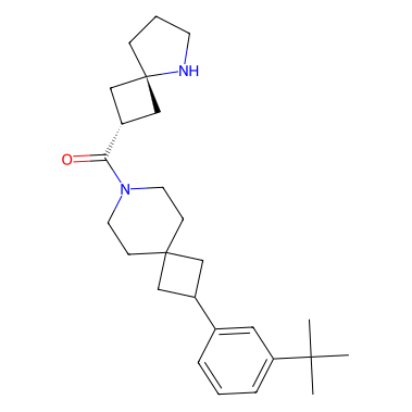 CC(C)(C)c1cccc(C2CC3(CCN(C(=O)[C@H]4C[C@]5(CCCN5)C4)CC3)C2)c1